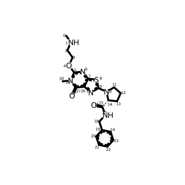 CNCCOc1nc2sc(N3CCC[C@@H]3C(=O)NCc3ccccc3)nc2c(=O)n1C